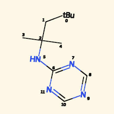 CC(C)(C)CC(C)(C)Nc1ncncn1